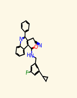 N#CCc1c(-c2ccccc2)nc2ccccc2c1C(=O)NCc1cc(F)cc(C2CC2)c1